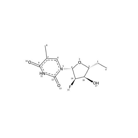 CC[C@H]1O[C@@H](n2cc(C)c(=O)[nH]c2=O)[C@H](F)[C@@H]1O